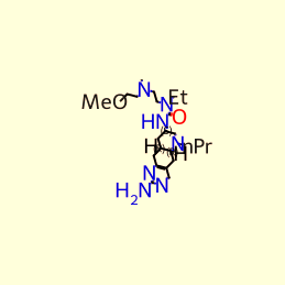 CCCN1C[C@@H](NC(=O)N(CC)CCN(C)CCOC)C[C@@H]2Cc3nc(N)ncc3C[C@H]21